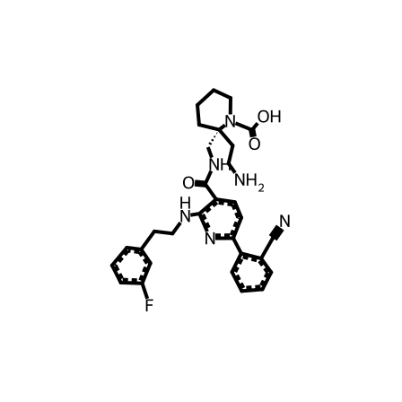 N#Cc1ccccc1-c1ccc(C(=O)NC[C@]2(CCN)CCCCN2C(=O)O)c(NCCc2cccc(F)c2)n1